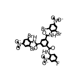 O=C(Nc1ccc(F)cc1[N+](=O)[O-])c1cc(C(=O)Nc2c(Br)cc([N+](=O)[O-])cc2Br)cc(C(=O)Nc2c(Br)cc([N+](=O)[O-])cc2Br)c1